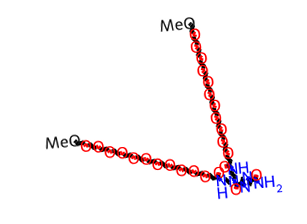 COCCOCCOCCOCCOCCOCCOCCOCCOCCOCCOCCOCCC(=O)NCCN(CCNC(=O)CCOCCOCCOCCOCCOCCOCCOCCOCCOCCOCCOCCOC)C(=O)c1cnc(C(N)=O)cn1